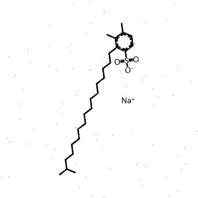 Cc1ccc(S(=O)(=O)[O-])c(CCCCCCCCCCCCCCCC(C)C)c1C.[Na+]